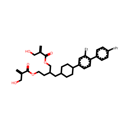 C=C(CO)C(=O)OCCC(COC(=O)C(=C)CO)CC1CCC(c2ccc(-c3ccc(CCC)cc3)c(CC)c2)CC1